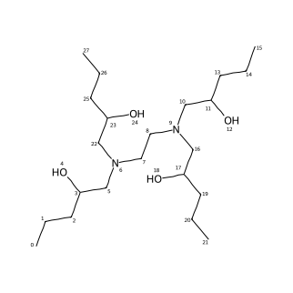 CCCC(O)CN(CCN(CC(O)CCC)CC(O)CCC)CC(O)CCC